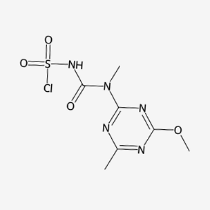 COc1nc(C)nc(N(C)C(=O)NS(=O)(=O)Cl)n1